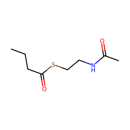 CCCC(=O)SCCNC(C)=O